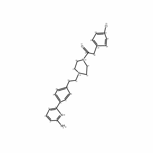 Nc1cccc(-c2ccc(CCN3CCN(C(=O)Cc4ccc(Cl)cc4)CC3)cc2)n1